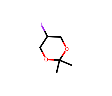 CC1(C)OCC(I)CO1